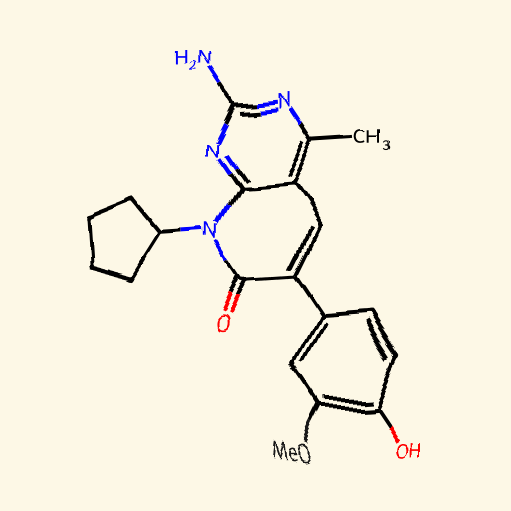 COc1cc(-c2cc3c(C)nc(N)nc3n(C3CCCC3)c2=O)ccc1O